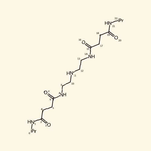 CC(C)NC(=O)CCC(=O)NCCNCCNC(=O)CCC(=O)NC(C)C